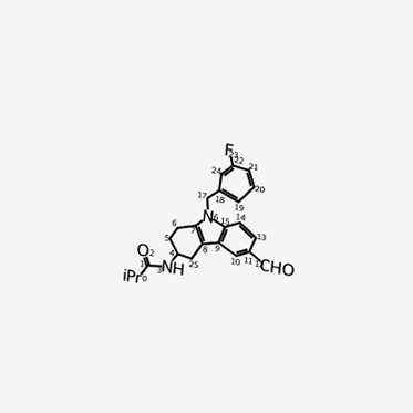 CC(C)C(=O)NC1CCc2c(c3cc(C=O)ccc3n2Cc2cccc(F)c2)C1